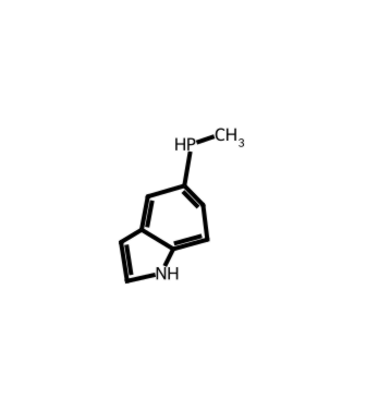 CPc1ccc2[nH]ccc2c1